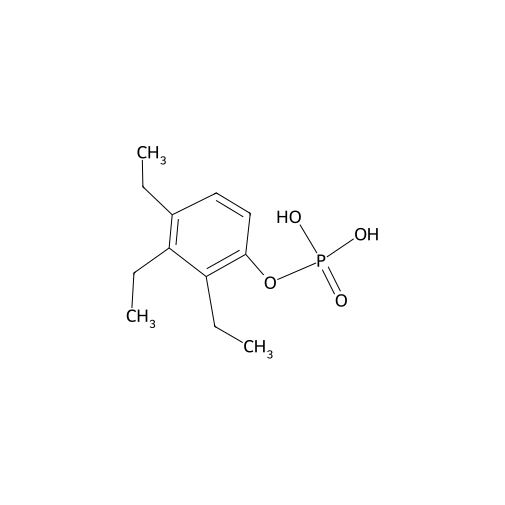 CCc1ccc(OP(=O)(O)O)c(CC)c1CC